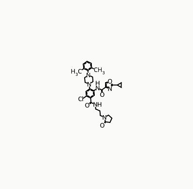 Cc1cccc(C)c1N1CCN(c2cc(Cl)c(C(=O)NCCCN3CCCC3=O)cc2NC(=O)c2coc(C3CC3)n2)CC1